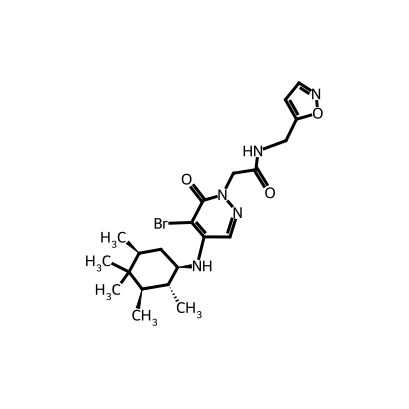 C[C@@H]1[C@@H](C)C(C)(C)[C@@H](C)C[C@H]1Nc1cnn(CC(=O)NCc2ccno2)c(=O)c1Br